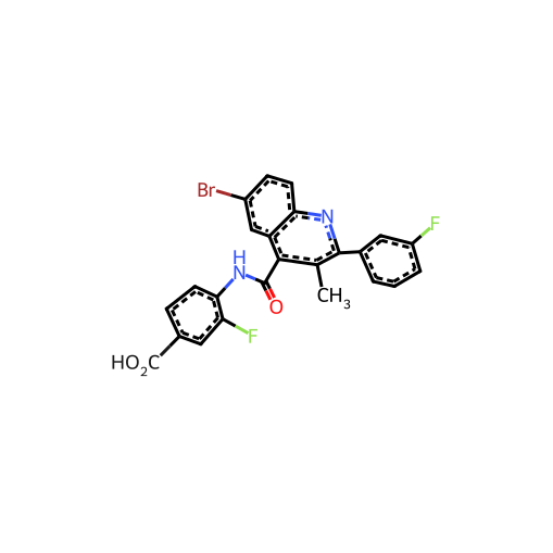 Cc1c(-c2cccc(F)c2)nc2ccc(Br)cc2c1C(=O)Nc1ccc(C(=O)O)cc1F